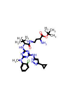 CN(c1nc(Nc2cc(C3CC3)n[nH]2)nc(N[C@H](C(=O)NCCC(N)C(=O)OC(C)(C)C)C(C)(C)C)n1)c1ccccc1Cl